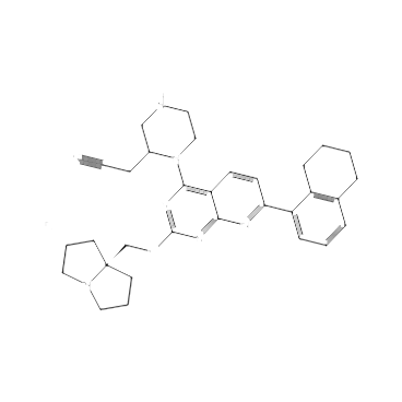 N#CCC1CNCCN1c1nc(OC[C@@]23CCCN2C[C@H](F)C3)nc2nc(-c3cccc4c3CCCC4)ccc12